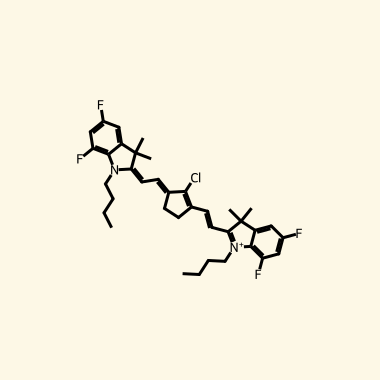 CCCCN1/C(=C/C=C2\CCC(/C=C/C3=[N+](CCCC)c4c(F)cc(F)cc4C3(C)C)=C2Cl)C(C)(C)c2cc(F)cc(F)c21